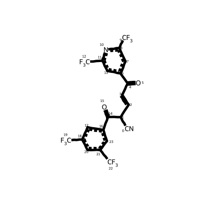 N#CC(C=CC(=O)c1cc(C(F)(F)F)nc(C(F)(F)F)c1)C(=O)c1cc(C(F)(F)F)cc(C(F)(F)F)c1